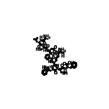 CC(C)C[C@H](NC(=O)[C@H](C)N)C(=O)N[C@@H](CS)C(=O)N[C@@H](CC(=O)O)C(=O)N1CCC[C@H]1C(=O)N[C@@H](CCCNC(=N)N)C(=O)N[C@@H](Cc1c[nH]c2ccccc12)C(=O)N[C@@H](CS)C(=O)N[C@@H](Cc1ccccc1)C(=O)O